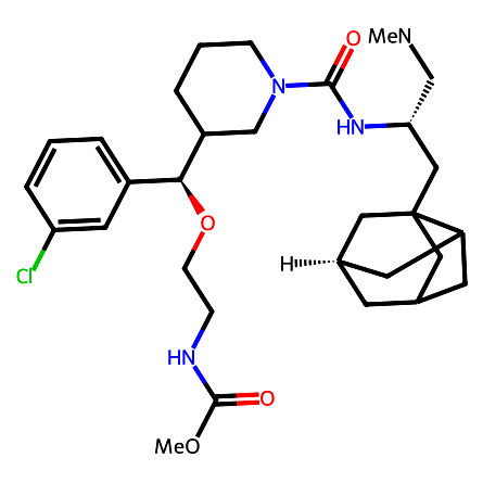 CNC[C@H](CC12CC3CC1C[C@@H](C3)C2)NC(=O)N1CCCC([C@@H](OCCNC(=O)OC)c2cccc(Cl)c2)C1